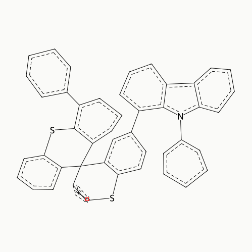 c1ccc(-c2cccc3c2Sc2ccccc2C32c3ccccc3Sc3ccc(-c4cccc5c6ccccc6n(-c6ccccc6)c45)cc32)cc1